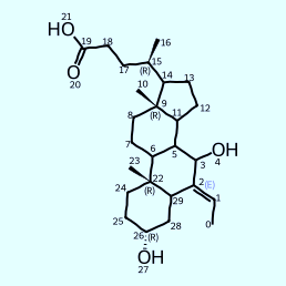 C/C=C1/C(O)C2C(CC[C@@]3(C)C2CCC3[C@H](C)CCC(=O)O)[C@@]2(C)CC[C@@H](O)CC12